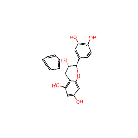 Oc1cc(O)c2c(c1)O[C@H](c1ccc(O)c(O)c1)[C@@H](O)C2.c1ccccc1